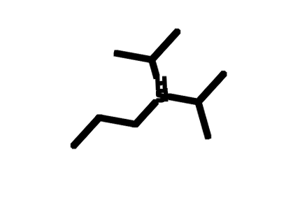 CCC[SiH](C(C)C)C(C)C